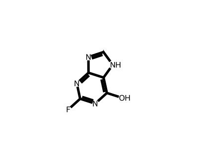 Oc1nc(F)nc2n[c][nH]c12